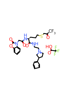 O=C(Cn1c(=O)oc2ccccc21)N[C@@H](CCCSCC(=O)C(F)(F)F)C(=O)NCCN1CCC(c2ccccc2)C1.O=C(O)C(F)(F)F